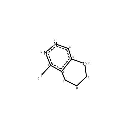 Ic1nncc2c1CCCO2